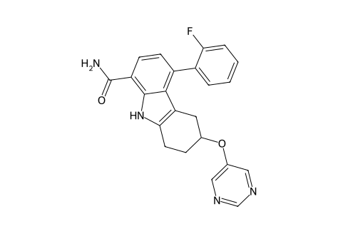 NC(=O)c1ccc(-c2ccccc2F)c2c3c([nH]c12)CCC(Oc1cncnc1)C3